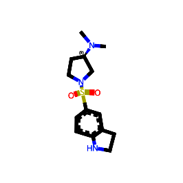 CN(C)[C@@H]1CCN(S(=O)(=O)c2ccc3c(c2)CCN3)C1